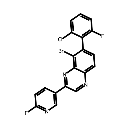 Fc1ccc(-c2cnc3ccc(-c4c(F)cccc4Cl)c(Br)c3n2)cn1